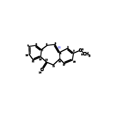 COC1=C/C2=C/Cc3ccccc3C(=O)CC2C=C1